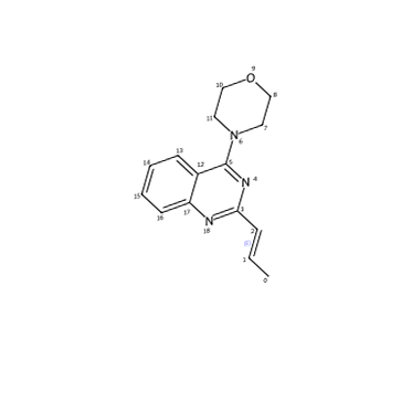 C/C=C/c1nc(N2CCOCC2)c2ccccc2n1